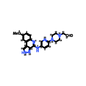 COc1ccc2nc(Nc3ccc(N4CCN(CC=O)CC4)nc3)c3n[nH]cc3c2c1